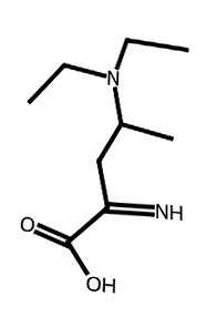 CCN(CC)C(C)CC(=N)C(=O)O